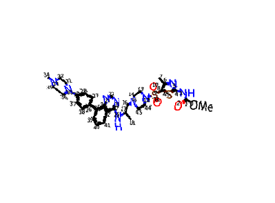 COC(=O)Nc1nc(C)c(S(=O)(=O)N2CCN(CC(C)Nc3ncnc4c(-c5ccc(N6CCN(C)CC6)cc5)cccc34)CC2)s1